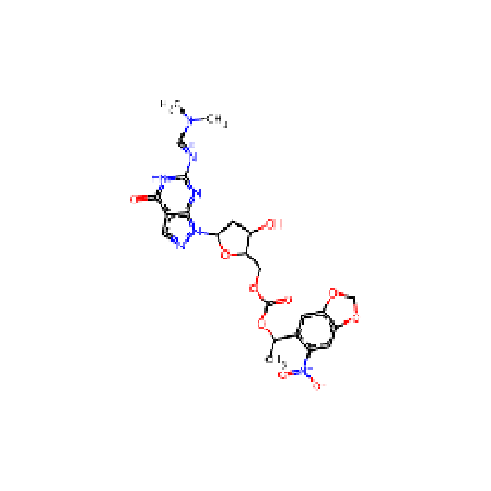 CC(OC(=O)OCC1OC(n2ncc3c(=O)[nH]c(/N=C/N(C)C)nc32)CC1O)c1cc2c(cc1[N+](=O)[O-])OCO2